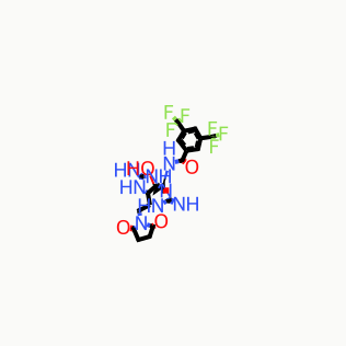 N=C1NC2C(CN3C(=O)CCC3=O)NC(=N)N3C[C@H](NC(=O)c4cc(C(F)(F)F)cc(C(F)(F)F)c4)[C@@H](O)C23N1